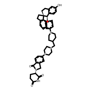 O=C1CC[C@H](N2Cc3cc(N4CCN(CC5CCN(c6ccc([C@@H]7c8ccc(O)cc8CC[C@@]78CCc7ccccc78)cc6)CC5)CC4)ccc3C2=O)C(=O)N1